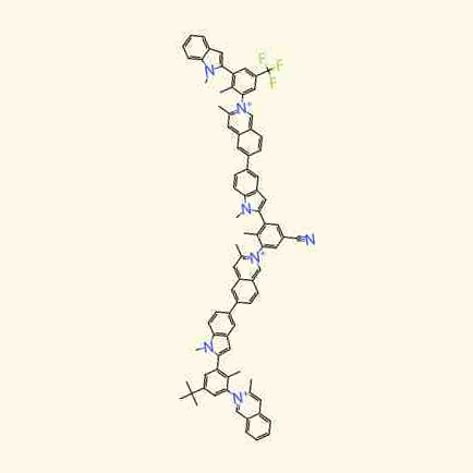 Cc1c(-c2cc3cc(-c4ccc5c[n+](-c6cc(C(F)(F)F)cc(-c7cc8ccccc8n7C)c6C)c(C)cc5c4)ccc3n2C)cc(C#N)cc1-[n+]1cc2ccc(-c3ccc4c(c3)cc(-c3cc(C(C)(C)C)cc(-[n+]5cc6ccccc6cc5C)c3C)n4C)cc2cc1C